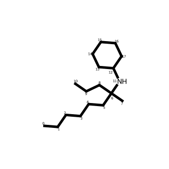 CCCCCCC(C)(CCC)NC1CCCCC1